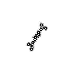 CC1(C)c2cc(-c3ccc(N(c4ccccc4)c4ccccc4)cc3)ccc2-c2nc3c(nc21)-c1ccc(-c2ccc(N(c4ccccc4)c4ccc5ccccc5c4)cc2)cc1C3(C)C